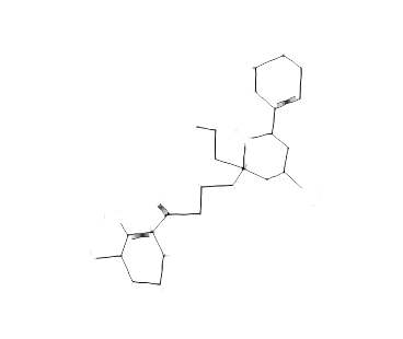 CCCC1(CCCC(=O)C2=C(C)C(O)CCC2)CC(C)CC(C2=CCCCC2)O1